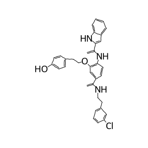 C=C(NCCc1cccc(Cl)c1)c1ccc(NC(=C)c2cc3ccccc3[nH]2)c(OCCc2ccc(O)cc2)c1